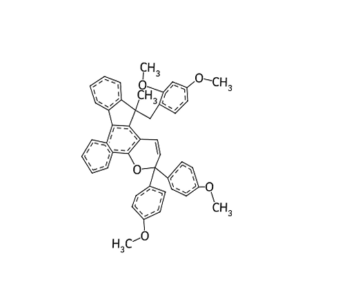 COc1ccc(C2(c3ccc(OC)cc3)C=Cc3c4c(c5ccccc5c3O2)-c2ccccc2C4(C)Cc2ccc(OC)cc2OC)cc1